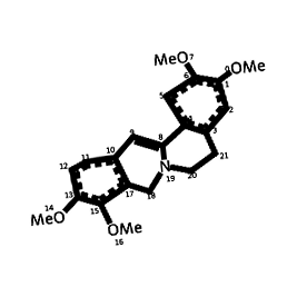 COc1cc2c(cc1OC)C1=Cc3ccc(OC)c(OC)c3CN1CC2